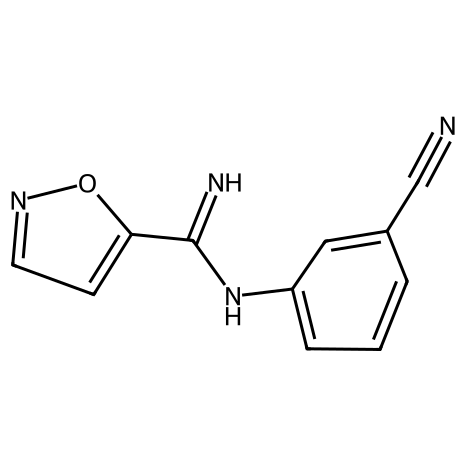 N#Cc1cccc(NC(=N)c2ccno2)c1